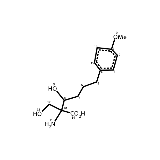 COc1ccc(CCCC(O)C(N)(CO)C(=O)O)cc1